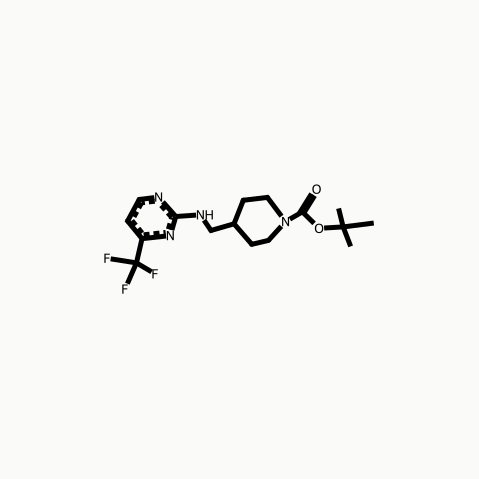 CC(C)(C)OC(=O)N1CCC(CNc2nccc(C(F)(F)F)n2)CC1